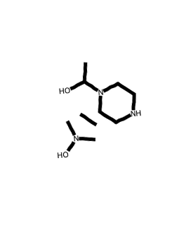 CC.CC(O)N1CCNCC1.CN(C)O